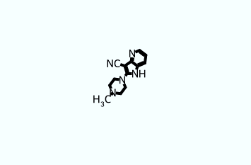 CN1CCN(c2[nH]c3cccnc3c2C#N)CC1